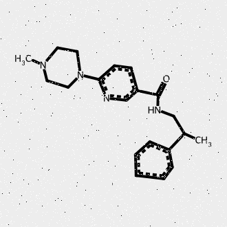 CC(CNC(=O)c1ccc(N2CCN(C)CC2)nc1)c1ccccc1